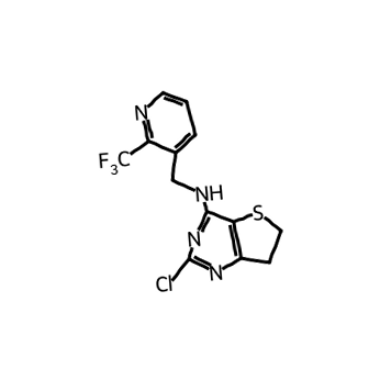 FC(F)(F)c1ncccc1CNc1nc(Cl)nc2c1SCC2